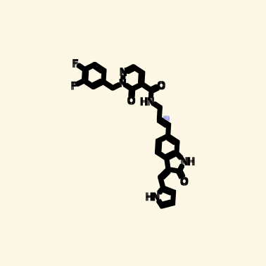 O=C1Nc2cc(/C=C/CNC(=O)c3ccnn(Cc4ccc(F)c(F)c4)c3=O)ccc2C1=Cc1ccc[nH]1